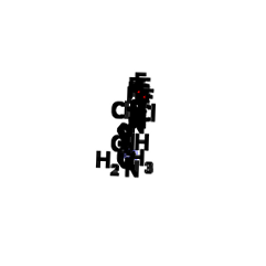 C=C(C#N)/C=C\C(=C/C)C(=O)Nc1cccc(-c2cn(-c3c(Cl)cc(C(F)(C(F)(F)F)C(F)(F)C(F)(F)F)cc3Cl)nn2)c1